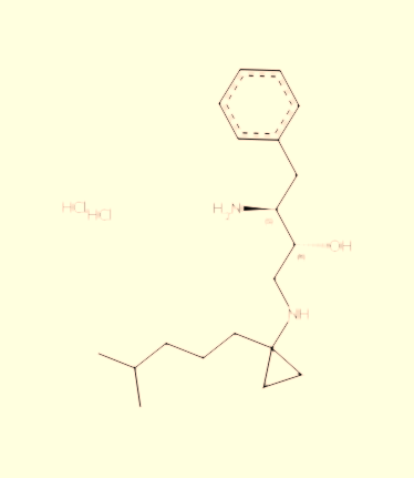 CC(C)CCCC1(NC[C@@H](O)[C@@H](N)Cc2ccccc2)CC1.Cl.Cl